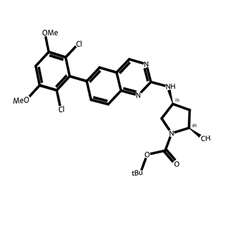 COc1cc(OC)c(Cl)c(-c2ccc3nc(N[C@H]4C[C@@H](C)N(C(=O)OC(C)(C)C)C4)ncc3c2)c1Cl